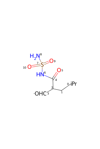 CC(C)CC([C]=O)C(=O)NS(N)(=O)=O